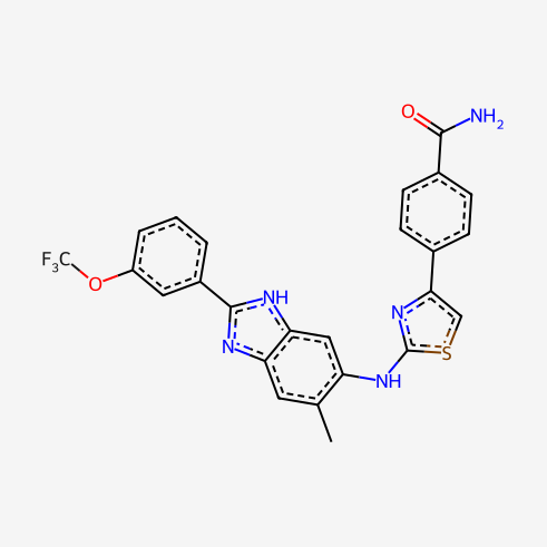 Cc1cc2nc(-c3cccc(OC(F)(F)F)c3)[nH]c2cc1Nc1nc(-c2ccc(C(N)=O)cc2)cs1